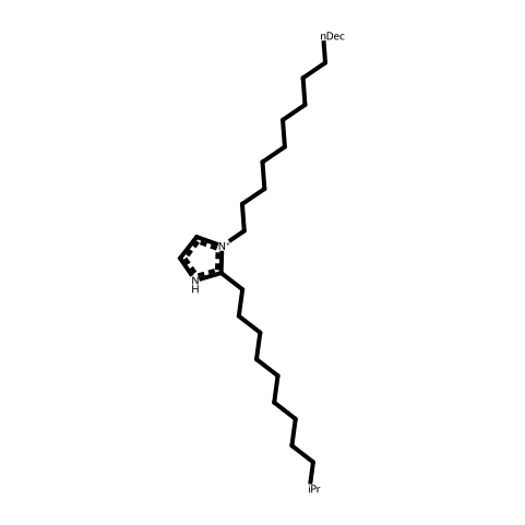 CCCCCCCCCCCCCCCCCCC[n+]1cc[nH]c1CCCCCCCCCC(C)C